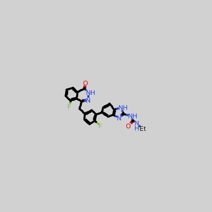 CCNC(=O)Nc1nc2cc(-c3cc(Cc4n[nH]c(=O)c5cccc(F)c45)ccc3F)ccc2[nH]1